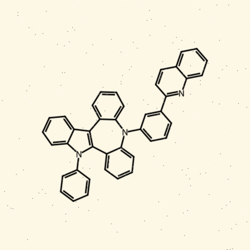 c1ccc(-n2c3c(c4ccccc42)-c2ccccc2N(c2cccc(-c4ccc5ccccc5n4)c2)c2ccccc2-3)cc1